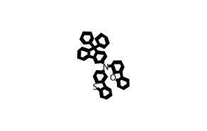 c1ccc(C2(c3ccccc3)c3ccccc3-c3cc(N(c4ccc5sc6ccccc6c5c4)c4cccc5c4oc4ccccc45)ccc32)cc1